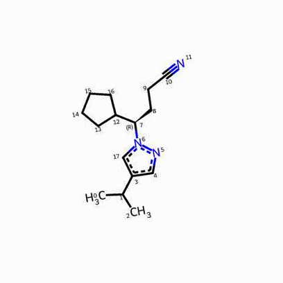 CC(C)c1cnn([C@H](CCC#N)C2CCCC2)c1